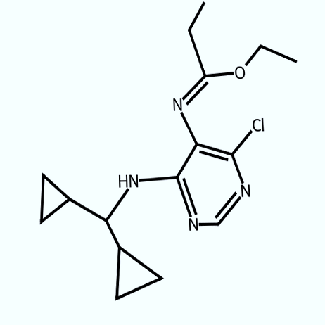 CCOC(CC)=Nc1c(Cl)ncnc1NC(C1CC1)C1CC1